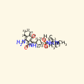 CN(C)CC(C)(C)CNS(=O)(=O)c1ccc(C2=C3C(=O)c4ccccc4C(N)=C3C(=O)N2)cc1